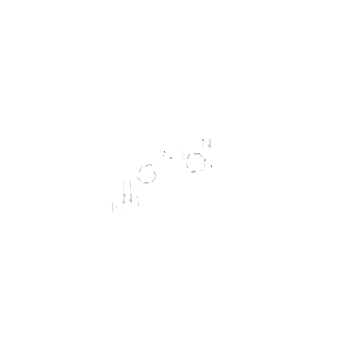 CC1CCN(c2cc(CN[C@@H](c3ccc(C(=O)NO)cc3)C(C)C)ccn2)CC1